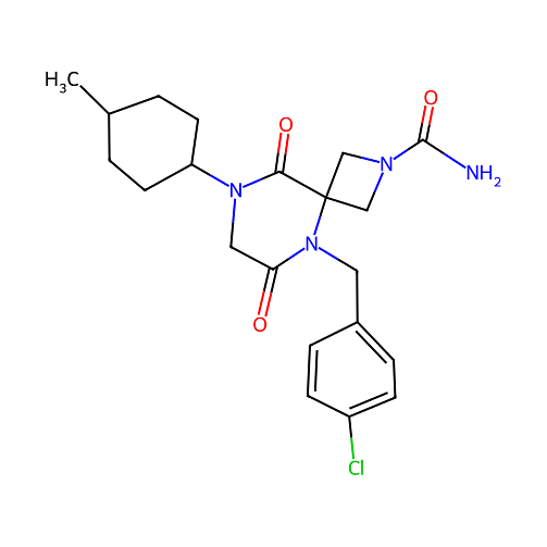 CC1CCC(N2CC(=O)N(Cc3ccc(Cl)cc3)C3(CN(C(N)=O)C3)C2=O)CC1